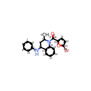 CC1CC(Nc2ccccc2)c2ccccc2N1C(=O)c1ccc(Br)o1